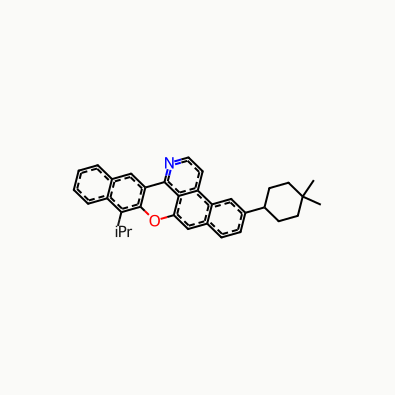 CC(C)c1c2c(cc3ccccc13)-c1nccc3c1c(cc1ccc(C4CCC(C)(C)CC4)cc13)O2